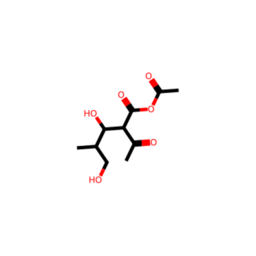 CC(=O)OC(=O)C(C(C)=O)C(O)C(C)CO